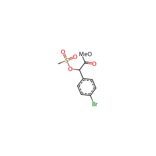 COC(=O)C(OS(C)(=O)=O)c1ccc(Br)cc1